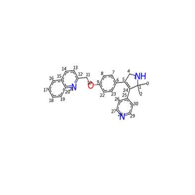 CC1(C)NCC(c2ccc(OCc3ccc4ccccc4n3)cc2)=C1c1ccncc1